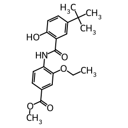 CCOc1cc(C(=O)OC)ccc1NC(=O)c1cc(C(C)(C)C)ccc1O